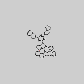 c1ccc(-c2cc(-c3nc(-c4ccc5ccccc5c4)nc(-c4ccc5ccccc5c4)n3)c3ccccc3c2-n2c3cc4ccccc4cc3c3ccc4ccccc4c32)cc1